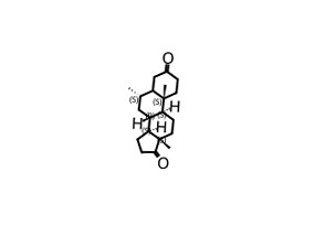 C[C@H]1C[C@@H]2[C@H](CC[C@]3(C)C(=O)CC[C@@H]23)[C@@]2(C)CCC(=O)CC12